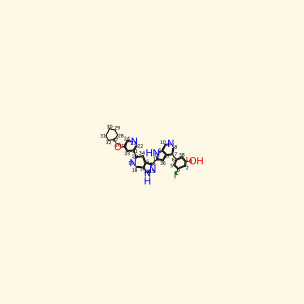 Oc1cc(F)cc(-c2cncc3[nH]c(-c4n[nH]c5cnc(-c6cncc(OC7CCCCC7)c6)cc45)cc23)c1